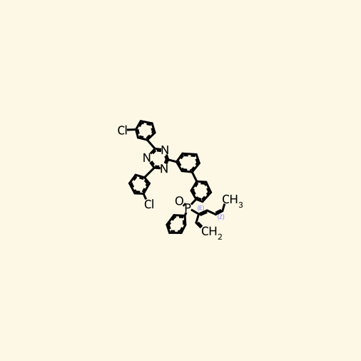 C=C/C(=C\C=C/C)P(=O)(c1ccccc1)c1cccc(-c2cccc(-c3nc(-c4cccc(Cl)c4)nc(-c4cccc(Cl)c4)n3)c2)c1